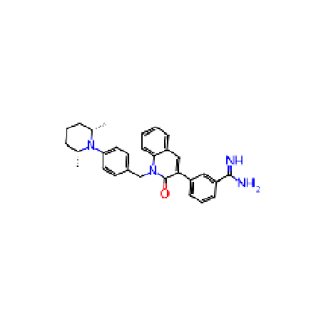 C[C@@H]1CCC[C@H](C)N1c1ccc(Cn2c(=O)c(-c3cccc(C(=N)N)c3)cc3ccccc32)cc1